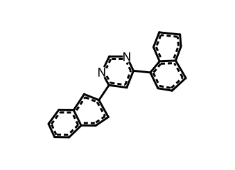 c1ccc2cc(-c3cc(-c4cccc5ccccc45)ncn3)ccc2c1